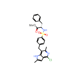 COC(=O)[C@H](Cc1ccccc1)NS(=O)(=O)c1ccc(Cc2c(C)nc(Cl)c3cc(C)[nH]c23)cc1